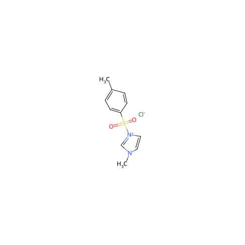 Cc1ccc(S(=O)(=O)[n+]2ccn(C)c2)cc1.[Cl-]